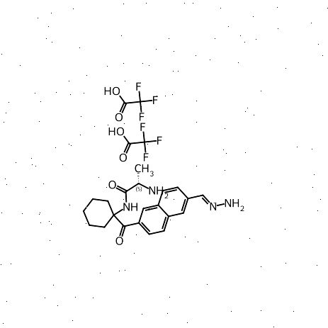 C[C@H](N)C(=O)NC1(C(=O)c2ccc3cc(C=NN)ccc3c2)CCCCC1.O=C(O)C(F)(F)F.O=C(O)C(F)(F)F